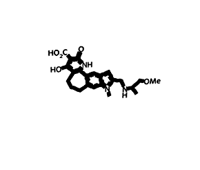 COCC(C)NCc1cc2cc3c(cc2n1C)CCCc1c-3[nH]c(=O)c(C(=O)O)c1O